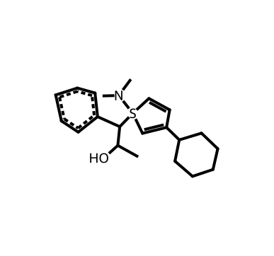 CC(O)C(c1ccccc1)S1(N(C)C)C=CC(C2CCCCC2)=C1